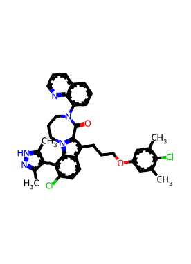 Cc1cc(OCCCc2c3n(c4c(-c5c(C)n[nH]c5C)c(Cl)ccc24)CCCN(c2cccc4cccnc24)C3=O)cc(C)c1Cl